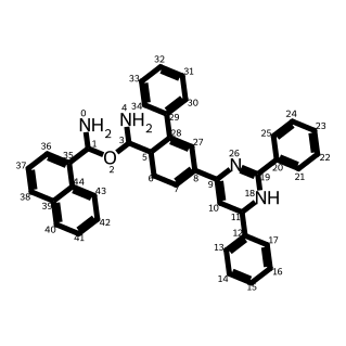 NC(OC(N)C1CC=C(C2=CC(c3ccccc3)NC(c3ccccc3)=N2)C=C1c1ccccc1)c1cccc2ccccc12